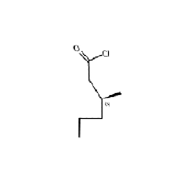 CCC[C@H](C)CC(=O)Cl